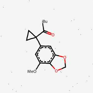 CCC(C)C(=O)C1(c2cc(OC)c3c(c2)OCO3)CC1